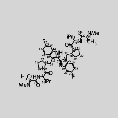 CNC(C)C(=O)NC(C(=O)N1CCCC1Cc1c(-c2nc3cc(F)ccc3n2CC2CCCN2C(=O)C(NC(=O)C(C)NC)C(C)C)[nH]c2cc(F)ccc12)C(C)C